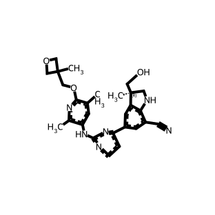 Cc1cc(Nc2nccc(-c3cc(C#N)c4c(c3)[C@@](C)(CO)CN4)n2)c(C)nc1OCC1(C)COC1